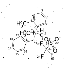 Cc1ccccc1[N+](C)(C)Cc1ccccc1.O=S(=O)([O-])C(F)(F)F